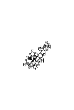 COc1cc(C(=O)N[C@@H]2CN3CCC2CC3)ccc1NC1=NC2=C(C[N+]13CC3)N(C)C(=O)CCN2C1CCCC1